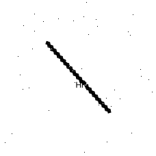 CCCCCCCCCCCCCCCCCCCCCCCCNCCCCCCCCCCCCCCCC